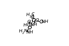 CCOc1cc(OCC2CCNCC2)c(F)c(C(Nc2ccc(C(=N)N)cc2)C(=O)O)c1